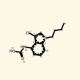 CCCCn1cc(Cl)c2c(NC(=O)O)cccc21